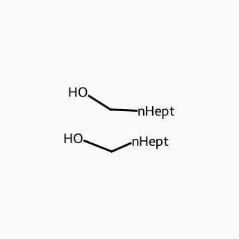 CCCCCCCCO.CCCCCCCCO